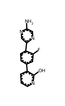 Nc1cnc(-c2ccc(-c3cccnc3O)cc2F)cn1